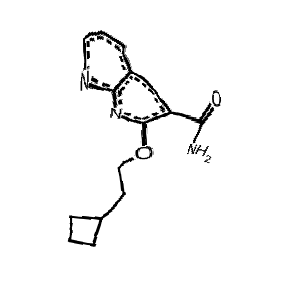 NC(=O)c1cc2cccnc2nc1OCCC1CCC1